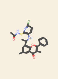 CC(=O)NSc1nc(Cl)ccc1NC(C)c1cc(C)cc2c(=O)c(C)c(-c3ccccc3)oc12